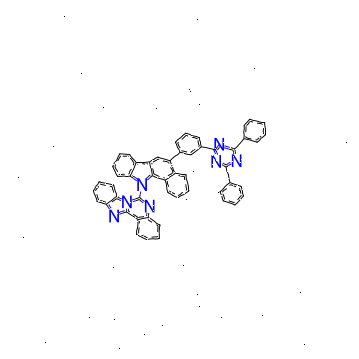 c1ccc(-c2nc(-c3ccccc3)nc(-c3cccc(-c4cc5c6ccccc6n(-c6nc7ccccc7c7nc8ccccc8n67)c5c5ccccc45)c3)n2)cc1